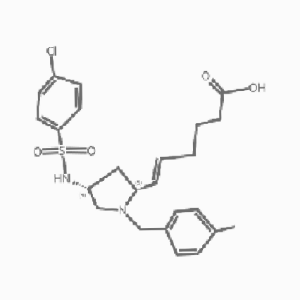 Cc1ccc(CN2C[C@H](NS(=O)(=O)c3ccc(Cl)cc3)C[C@H]2C=CCCCC(=O)O)cc1